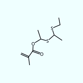 C=C(C)C(=O)OC(C)SC(C)SCC